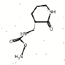 NOC(=O)NC[C@@H]1CCCNC1=O